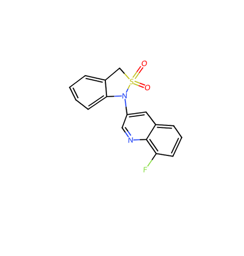 O=S1(=O)Cc2ccccc2N1c1cnc2c(F)cccc2c1